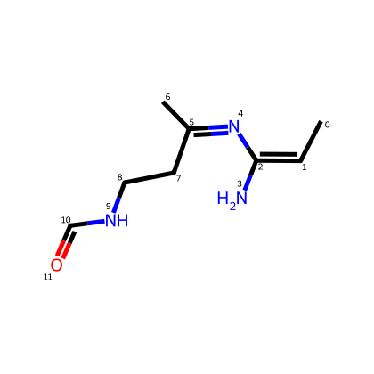 C/C=C(N)\N=C(\C)CCNC=O